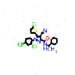 C[C@@H](NC(=O)c1nn(-c2ccc(Cl)cc2Cl)c(-c2ccc(Cl)s2)c1C#N)C1CCCCC1